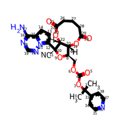 CC(C)(OC(=O)OC[C@H]1O[C@@](C#N)(c2ccc3c(N)ncnn23)[C@@H]2OC(=O)CCCC(=O)O[C@@H]21)c1ccncc1